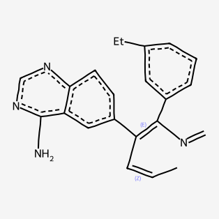 C=N/C(=C(\C=C/C)c1ccc2ncnc(N)c2c1)c1cccc(CC)c1